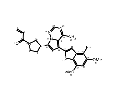 C=CC(=O)N1CC[C@@H](c2cc(-c3cc4c(F)c(OC)cc(OC)c4s3)c3c(N)ncnn23)C1